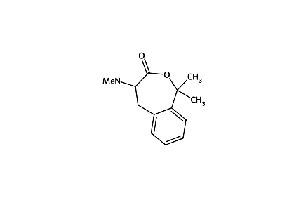 CNC1Cc2ccccc2C(C)(C)OC1=O